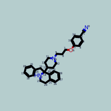 N#Cc1ccc(OCCCN2CCC(C3(Cc4ccccc4)NCCc4ccccc43)CC2)cc1